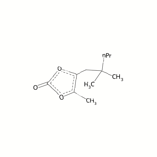 CCCC(C)(C)Cc1oc(=O)oc1C